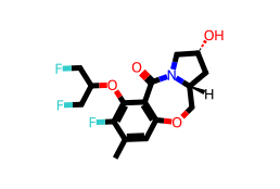 Cc1cc2c(c(OC(CF)CF)c1F)C(=O)N1C[C@H](O)C[C@@H]1CO2